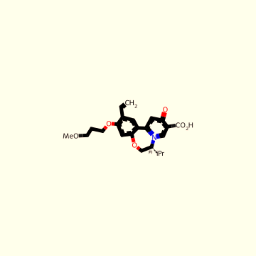 C=Cc1cc2c(cc1OCCCOC)OC[C@@H](C(C)C)n1cc(C(=O)O)c(=O)cc1-2